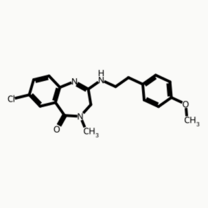 COc1ccc(CCNC2=Nc3ccc(Cl)cc3C(=O)N(C)C2)cc1